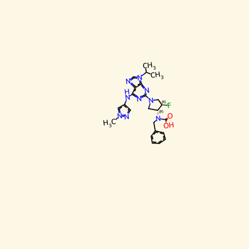 CC(C)n1cnc2c(Nc3cnn(C)c3)nc(N3C[C@@H](F)[C@H](N(Cc4ccccc4)C(=O)O)C3)nc21